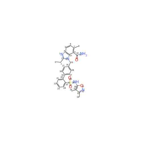 CCc1nc2ccc(C)c(C(N)=O)c2n1Cc1ccc(-c2ccccc2S(=O)(=O)Nc2onc(C)c2C)cc1